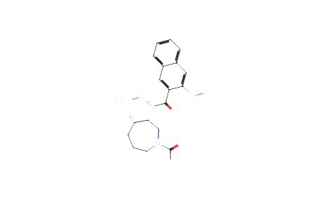 COc1cc2ccccc2cc1C(=O)N(OC)[C@@H]1CN(C(=O)O)CCC[C@H]1O